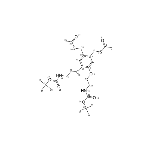 CC(=O)SCc1cc(OCCNC(=O)OC(C)(C)C)c(OCCNC(=O)OC(C)(C)C)cc1CSC(C)=O